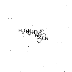 Cn1ccc(N2CCN(C(=O)C3(Nc4ccccc4C#N)CCCC3)CC2)n1